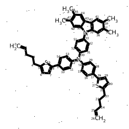 C=CCCCc1ccc(-c2ccc(N(c3ccc(-c4ccc(CCCC=C)s4)cc3)c3ccc(-n4c5cc(C)c(C)cc5c5cc(C)c(C)cc54)cc3)cc2)s1